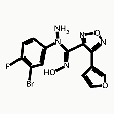 NN(C(=NO)c1nonc1-c1ccoc1)c1ccc(F)c(Br)c1